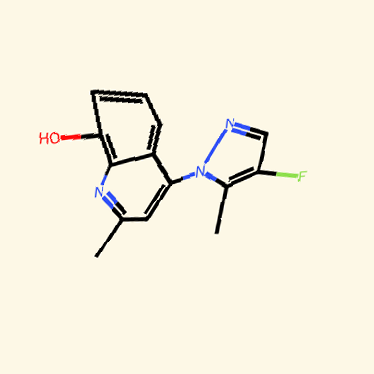 Cc1cc(-n2ncc(F)c2C)c2cccc(O)c2n1